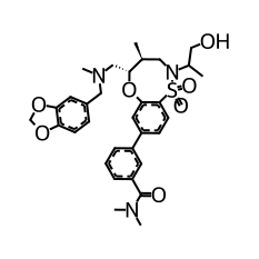 CC(CO)N1C[C@H](C)[C@@H](CN(C)Cc2ccc3c(c2)OCO3)Oc2cc(-c3cccc(C(=O)N(C)C)c3)ccc2S1(=O)=O